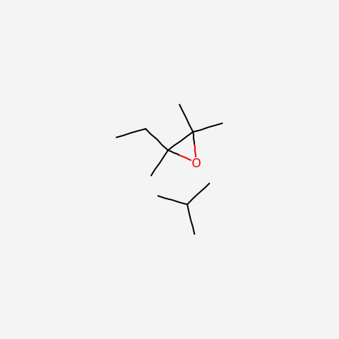 CC(C)C.CCC1(C)OC1(C)C